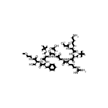 COCCNC(=O)[C@H](CS)NC(=O)[C@H](Cc1ccccc1)NC(=O)[C@H](CSC(C)(C)C)NC(=O)[C@H](CC(=O)O)NC(=O)CNC(=O)[C@H](CCCNC(=N)N)NC(=O)[C@H](CSC(C)(C)C)NC(=O)[C@H](CCCCN)NC(=O)CCl